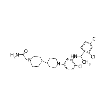 CC(Nc1cc(N2CCC(C3CCN(CC(N)=O)CC3)CC2)ccc1Cl)c1ccc(Cl)cc1Cl